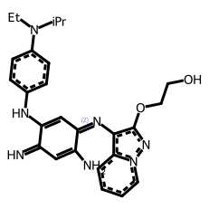 CCN(c1ccc(NC2=C/C(=N/c3c(OCCO)nn4ccccc34)C(N)=CC2=N)cc1)C(C)C